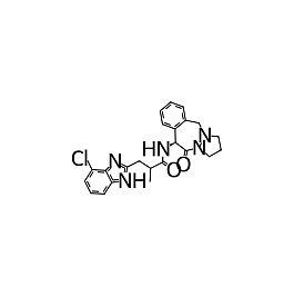 CC(Cc1nc2c(Cl)cccc2[nH]1)C(=O)N[C@@H]1C(=O)N2CCCN2Cc2ccccc21